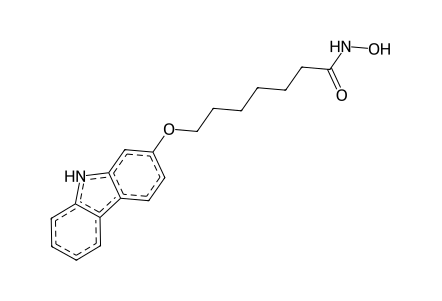 O=C(CCCCCCOc1ccc2c(c1)[nH]c1ccccc12)NO